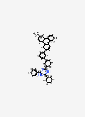 C[C@@H]1C=CC2C3=C(C=CC(c4cccc(C5=CC(C6=NC(c7ccccc7)NC(C7=CC=CCC7)N6)CCC5)c4)C3)c3ccccc3C2C1